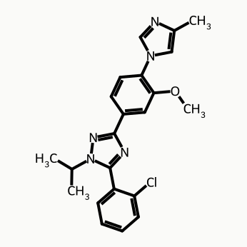 COc1cc(-c2nc(-c3ccccc3Cl)n(C(C)C)n2)ccc1-n1cnc(C)c1